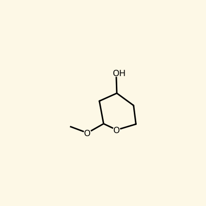 COC1CC(O)CCO1